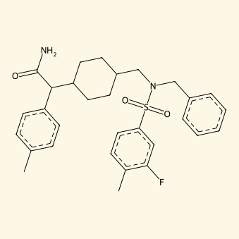 Cc1ccc(C(C(N)=O)C2CCC(CN(Cc3ccccc3)S(=O)(=O)c3ccc(C)c(F)c3)CC2)cc1